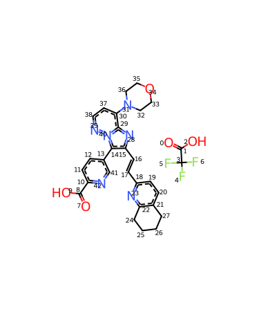 O=C(O)C(F)(F)F.O=C(O)c1ccc(-c2c(C=Cc3ccc4c(n3)CCCC4)nc3c(N4CCOCC4)ccnn23)cn1